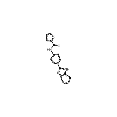 O=C(Nc1ccc(-c2nc3ccccc3[nH]2)cc1)c1cccs1